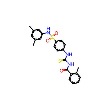 Cc1cc(C)cc(NS(=O)(=O)c2ccc(NC(=S)NC(=O)c3ccccc3C)cc2)c1